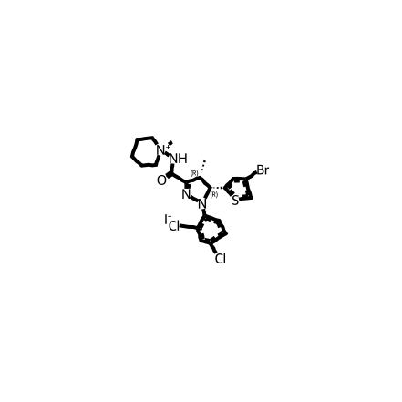 C[C@H]1C(C(=O)N[N+]2(C)CCCCC2)=NN(c2ccc(Cl)cc2Cl)[C@H]1c1cc(Br)cs1.[I-]